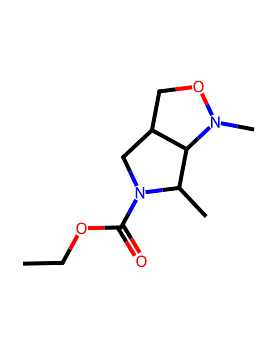 CCOC(=O)N1CC2CON(C)C2C1C